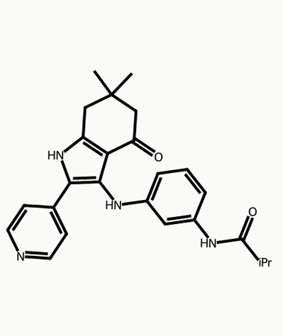 CC(C)C(=O)Nc1cccc(Nc2c(-c3ccncc3)[nH]c3c2C(=O)CC(C)(C)C3)c1